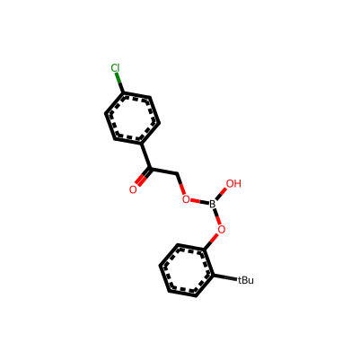 CC(C)(C)c1ccccc1OB(O)OCC(=O)c1ccc(Cl)cc1